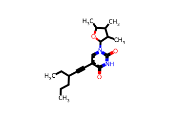 CCCC(C#Cc1cn(C2OC(C)C(C)C2C)c(=O)[nH]c1=O)CC